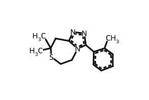 Cc1ccccc1-c1nnc2n1CCSC(C)(C)C2